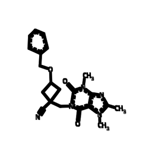 Cc1nc2c(c(=O)n(CC3(C#N)CC(OCc4ccccc4)C3)c(=O)n2C)n1C